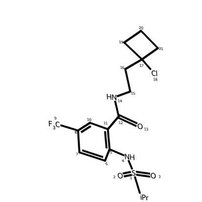 CC(C)S(=O)(=O)Nc1ccc(C(F)(F)F)cc1C(=O)NCCC1(Cl)CCC1